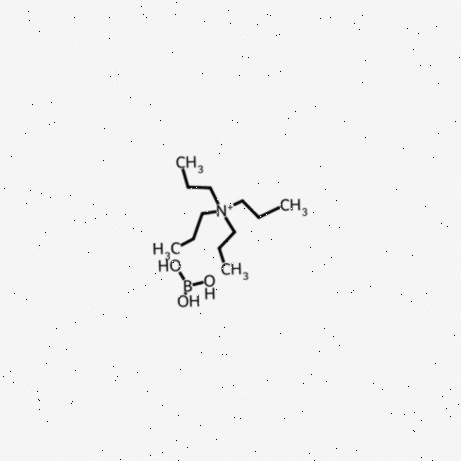 CCC[N+](CCC)(CCC)CCC.OB(O)O